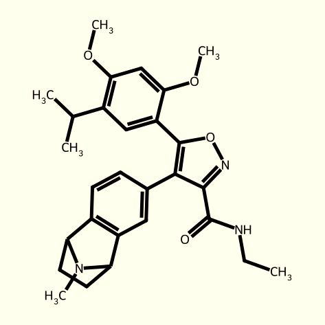 CCNC(=O)c1noc(-c2cc(C(C)C)c(OC)cc2OC)c1-c1ccc2c(c1)C1CCC2N1C